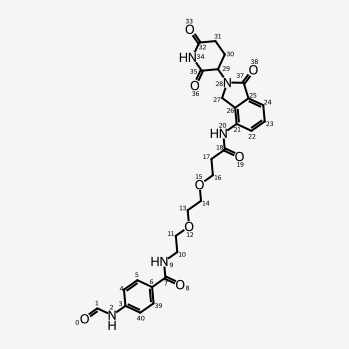 O=CNc1ccc(C(=O)NCCOCCOCCC(=O)Nc2cccc3c2CN(C2CCC(=O)NC2=O)C3=O)cc1